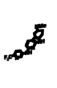 CNC1CCc2[nH]c3nc(Nc4ccc(C(F)(F)F)nc4)ccc3c2C1